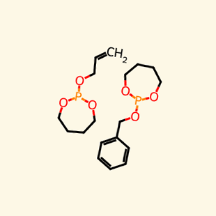 C=CCOP1OCCCCO1.c1ccc(COP2OCCCCO2)cc1